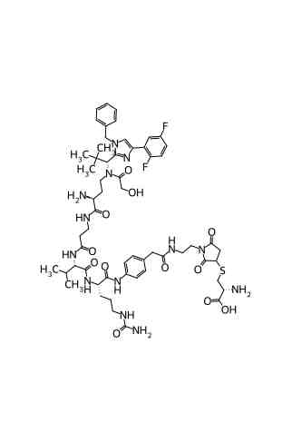 CC(C)[C@H](NC(=O)CCNC(=O)[C@@H](N)CCN(C(=O)CO)[C@@H](c1nc(-c2cc(F)ccc2F)cn1Cc1ccccc1)C(C)(C)C)C(=O)N[C@@H](CCCNC(N)=O)C(=O)Nc1ccc(CC(=O)NCCN2C(=O)CC(SC[C@H](N)C(=O)O)C2=O)cc1